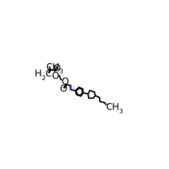 C=C(C)C(=O)OCCOC(=O)/C=C/c1ccc(C2CCC(CCCCC)CC2)cc1